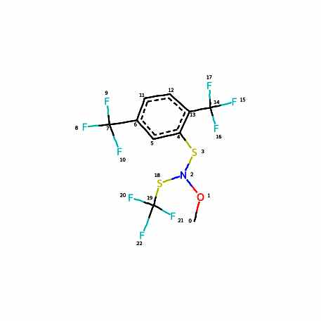 CON(Sc1cc(C(F)(F)F)ccc1C(F)(F)F)SC(F)(F)F